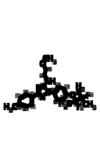 BC(C)(F)C(B)(F)Oc1ccc(-n2nc(-c3ccc(C)cc3)nc2NCCOC)cc1